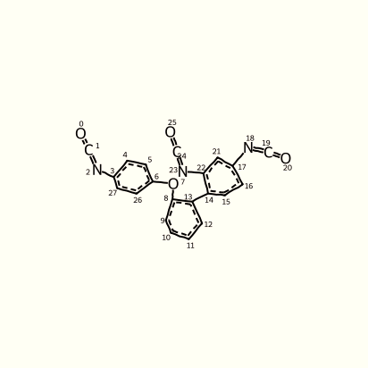 O=C=Nc1ccc(Oc2ccccc2-c2ccc(N=C=O)cc2N=C=O)cc1